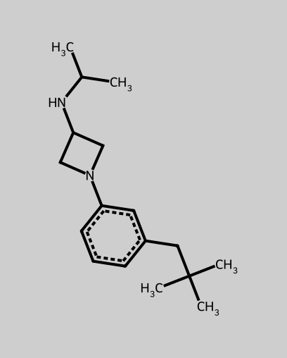 CC(C)NC1CN(c2cccc(CC(C)(C)C)c2)C1